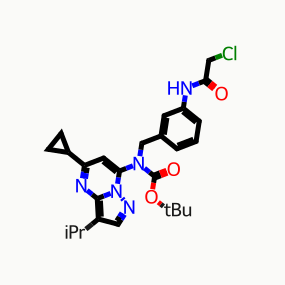 CC(C)c1cnn2c(N(Cc3cccc(NC(=O)CCl)c3)C(=O)OC(C)(C)C)cc(C3CC3)nc12